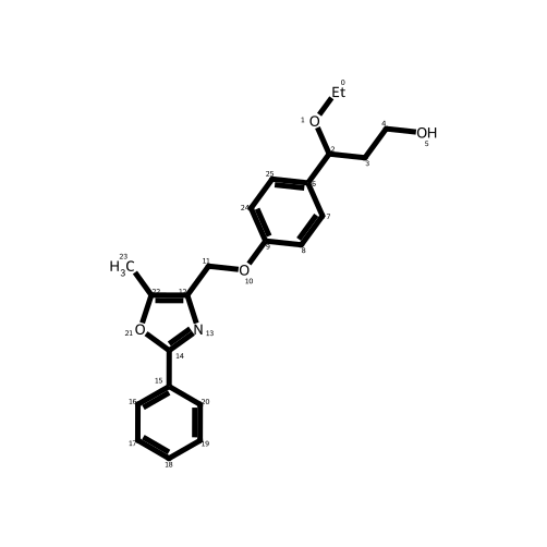 CCOC(CCO)c1ccc(OCc2nc(-c3ccccc3)oc2C)cc1